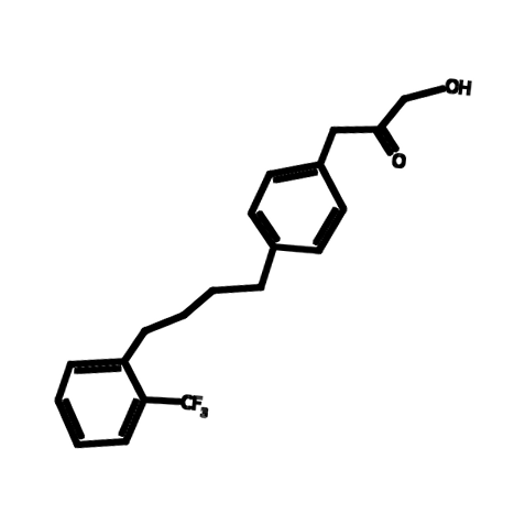 O=C(CO)Cc1ccc(CCCCc2ccccc2C(F)(F)F)cc1